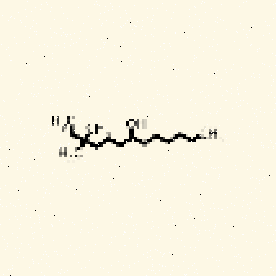 CCCCCCC(O)CCCC(C)(C)CC